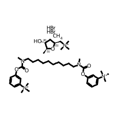 Br.Br.C.CN(CCCCCCCCCCN(C)C(=O)Oc1cccc([N+](C)(C)C)c1)C(=O)Oc1cccc([N+](C)(C)C)c1.C[C@@H]1O[C@H](C[N+](C)(C)C)C[C@H]1O